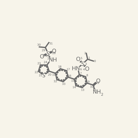 CC(C)S(=O)(=O)Nc1cc(C(N)=O)ccc1-c1ccc(-c2sccc2NS(=O)(=O)C(C)C)cc1